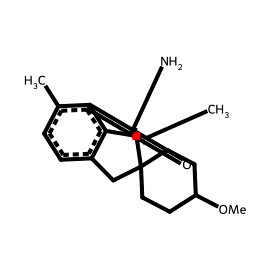 COC1CCC2(CC1)Cc1ccc(C)cc1C21N=C(N)N(C)C1=O